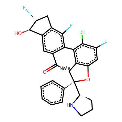 CNC(=O)c1cc2c(c(F)c1-c1c(Cl)c(F)cc3c1C[C@](c1ccccc1)([C@@H]1CCCN1)O3)C[C@@H](F)[C@H]2O